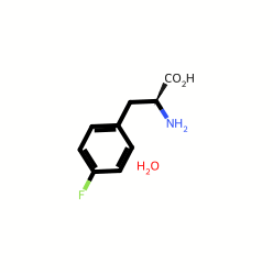 N[C@@H](Cc1ccc(F)cc1)C(=O)O.O